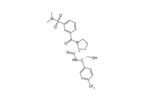 CN(C)S(=O)(=O)c1cccc(C(=O)N2CCC[C@@H]2C(=O)N[C@H](CO)c2ccc(C(F)(F)F)cc2)c1